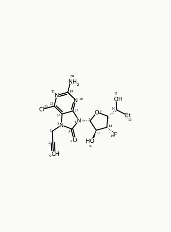 C#CCn1c(=O)n([C@@H]2O[C@H](C(O)CC)[C@H](F)[C@H]2O)c2nc(N)nc(Cl)c21